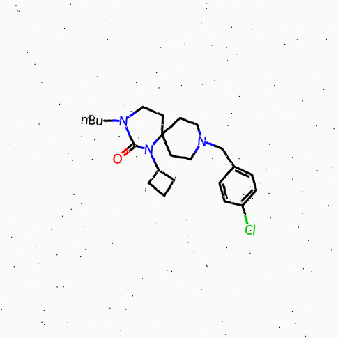 CCCCN1CCC2(CCN(Cc3ccc(Cl)cc3)CC2)N(C2CCC2)C1=O